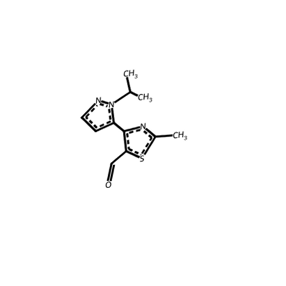 Cc1nc(-c2ccnn2C(C)C)c(C=O)s1